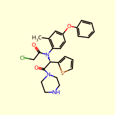 Cc1cc(Oc2ccccc2)ccc1N(C(=O)CCl)[C@H](C(=O)N1CCNCC1)c1cccs1